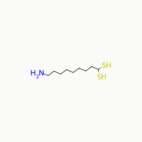 NCCCCCCCCC(S)S